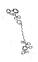 O=C(Nc1ccccc1-c1ccccc1)OC1CCN(CCCCCCCCCNC(=O)c2ccc(O)cc2Cl)CC1